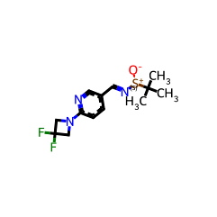 CC(C)(C)[S@@+]([O-])N=Cc1ccc(N2CC(F)(F)C2)nc1